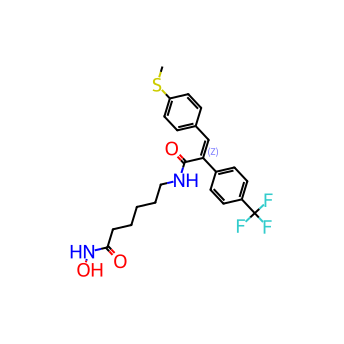 CSc1ccc(/C=C(\C(=O)NCCCCCC(=O)NO)c2ccc(C(F)(F)F)cc2)cc1